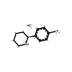 Cl.FC(F)(F)c1ccc([C@@H]2CCCCN2)cc1